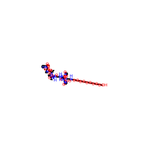 CC[C@H](C)[C@@H]([C@@H](CC(=O)N1CCC[C@H]1[C@H](OC)[C@@H](C)C(=O)N[C@@H](Cc1ccccc1)C(=O)OC)OC)N(C)C(=O)[C@@H](NC(=O)[C@H](C(C)C)N(C)C(=O)[C@H](C)NC(=O)CCCNC(=O)C(NC(=O)CN1C(=O)C=CC1=O)C(NC(=O)CN1C(=O)C=CC1=O)C(=O)NCCCC(=O)NCCOCCOCCOCCOCCOCCOCCOCCOCCOCCO)C(C)C